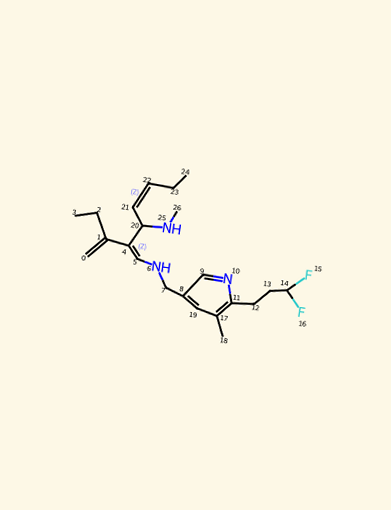 C=C(CC)/C(=C/NCc1cnc(CCC(F)F)c(C)c1)C(/C=C\CC)NC